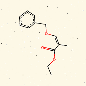 CCOC(=O)C(C)=COCc1ccccc1